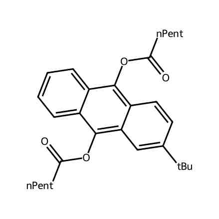 CCCCCC(=O)Oc1c2ccccc2c(OC(=O)CCCCC)c2cc(C(C)(C)C)ccc12